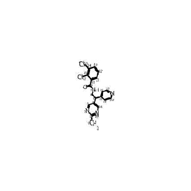 Cc1ncc(C(CNC(=O)c2cccc(Cl)c2Cl)c2ccncc2)cn1